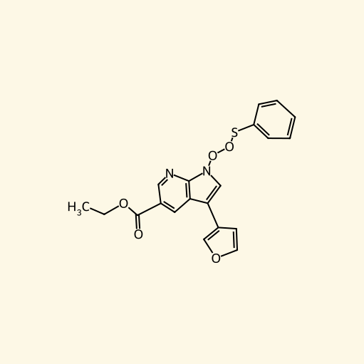 CCOC(=O)c1cnc2c(c1)c(-c1ccoc1)cn2OOSc1ccccc1